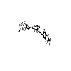 CCOc1cc(-c2cc(NCCc3cc4c(cc3Cl)OC(F)(F)O4)ncn2)sc1C(=O)O